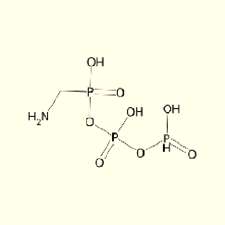 NCP(=O)(O)OP(=O)(O)O[PH](=O)O